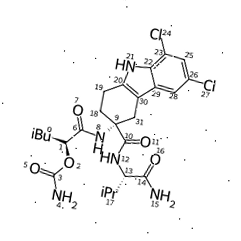 CC[C@H](C)[C@H](OC(N)=O)C(=O)N[C@]1(C(=O)N[C@H](C(N)=O)C(C)C)CCc2[nH]c3c(Cl)cc(Cl)cc3c2C1